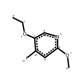 CCOc1cnc(OC)cc1I